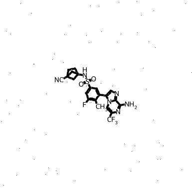 Cc1c(F)cc(S(=O)(=O)NC23CCC(C#N)(C2)C3)cc1-c1cnc2c(N)nc(C(F)(F)F)cn12